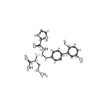 COC[C@H](C[C@@H](Cc1ccc(-c2cc(Cl)ccc2F)cc1)NC(=O)c1ncco1)C(=O)O